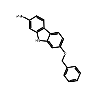 CNc1ccc2c(c1)[nH]c1cc(OCc3ccccc3)ccc12